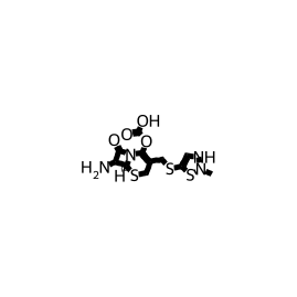 CN1NC=C(SCC2=C(OC(=O)O)N3C(=O)C(N)[C@@H]3SC2)S1